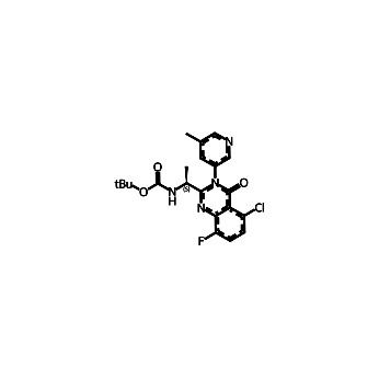 Cc1cncc(-n2c([C@H](C)NC(=O)OC(C)(C)C)nc3c(F)ccc(Cl)c3c2=O)c1